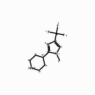 Cn1cc(C(F)(F)F)nc1C1CCNCC1